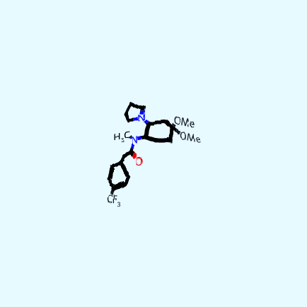 COC1(OC)CCC(N(C)C(=O)Cc2ccc(C(F)(F)F)cc2)C(N2CCCC2)C1